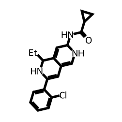 CCC1NC(c2ccccc2Cl)=CC2=CNC(NC(=O)C3CC3)C=C21